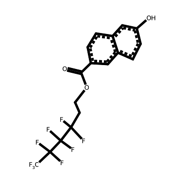 O=C(OCCC(F)(F)C(F)(F)C(F)(F)C(F)(F)F)c1ccc2cc(O)ccc2c1